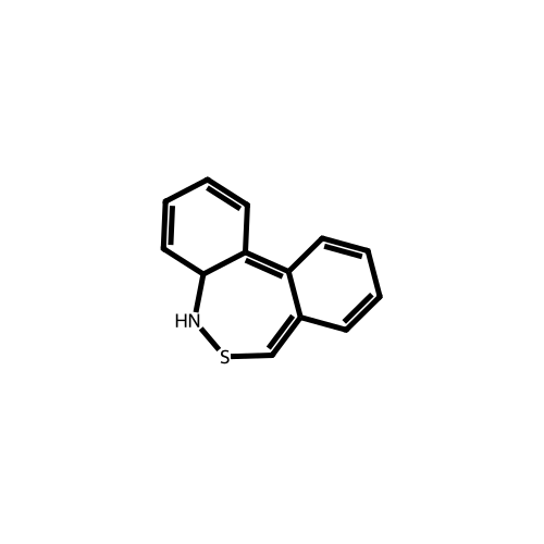 C1=CC2=c3ccccc3=CSNC2C=C1